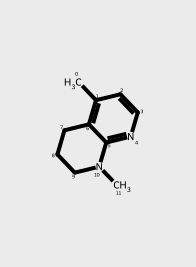 Cc1ccnc2c1CCCN2C